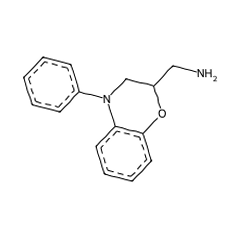 NCC1CN(c2ccccc2)c2ccccc2O1